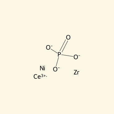 O=P([O-])([O-])[O-].[Ce+3].[Ni].[Zr]